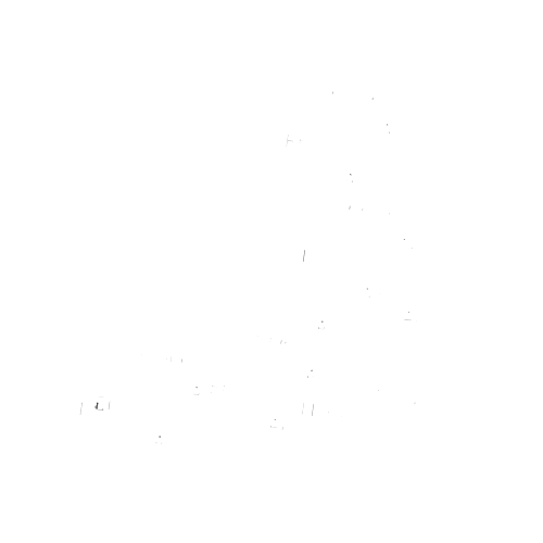 CC(=O)C(C(C)=O)C(=O)C(=O)O.CCC(C(C)=O)(C(C)=O)C(=O)[O-].CCC(C(C)=O)(C(C)=O)C(=O)[O-].CCC(C(C)=O)(C(C)=O)C(=O)[O-].CCC(C(C)=O)(C(C)=O)C(=O)[O-].[Ti+4]